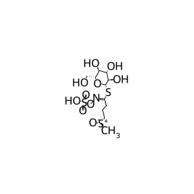 C[S+]([O-])CCCC(=NOS(=O)(=O)O)S[C@@H]1O[C@H](CO)[C@@H](O)[C@H](O)[C@H]1O